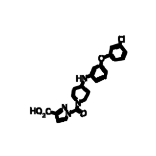 O=C(O)c1ccn(C(=O)N2CCC(Nc3cccc(Oc4cccc(Cl)c4)c3)CC2)n1